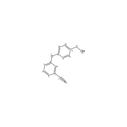 N#Cc1cccc(Oc2ccc(CO)cc2)c1